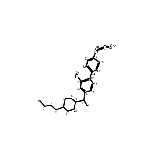 CCCCC1CCC(C(C)c2ccc(-c3ccc(N=C=S)cc3)c(F)c2)CC1